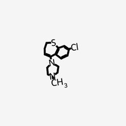 CN1CCN(C2=CCCSc3cc(Cl)ccc32)CC1